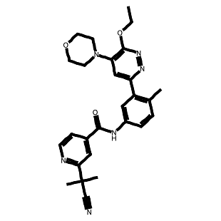 CCOc1nnc(-c2cc(NC(=O)c3ccnc(C(C)(C)C#N)c3)ccc2C)cc1N1CCOCC1